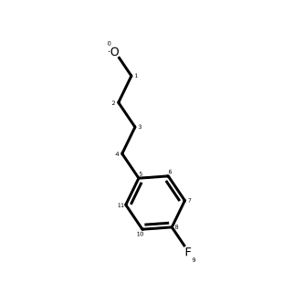 [O]CCCCc1ccc(F)cc1